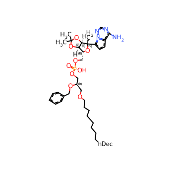 CCCCCCCCCCCCCCCCCCOC[C@H](COP(=O)(O)OC[C@H]1O[C@@](C)(c2ccc3c(N)ncnn23)[C@@H]2OC(C)(C)O[C@@H]21)OCc1ccccc1